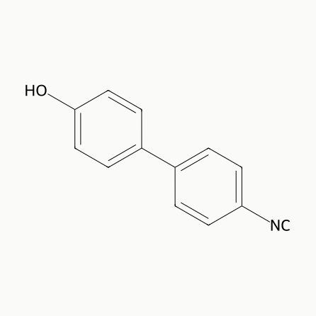 [C-]#[N+]c1ccc(-c2ccc(O)cc2)cc1